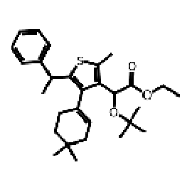 CCOC(=O)C(OC(C)(C)C)c1c(C)sc(C(C)c2ccccc2)c1C1=CCC(C)(C)CC1